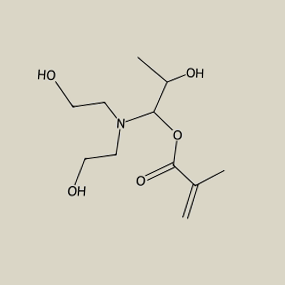 C=C(C)C(=O)OC(C(C)O)N(CCO)CCO